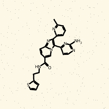 Cc1cccc(-c2nc3ccc(C(=O)NCCc4cccs4)cn3c2-c2ccnc(N)n2)n1